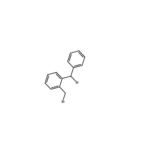 BrCc1ccccc1C(Br)c1ccccc1